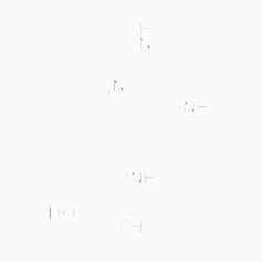 CC(CO)NCc1c[nH]c2c(=O)[nH]cnc12